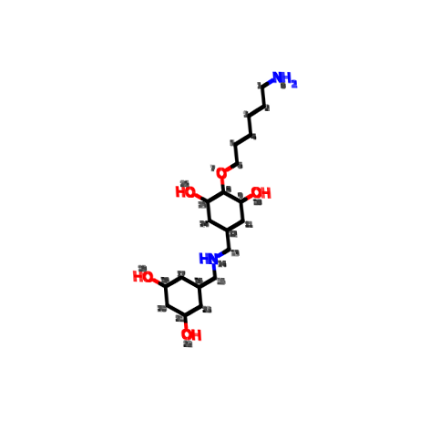 NCCCCCCOC1C(O)CC(CNCC2CC(O)CC(O)C2)CC1O